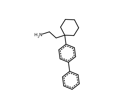 NCCC1(c2ccc(-c3ccccc3)cc2)CCCCC1